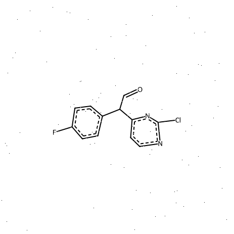 O=CC(c1ccc(F)cc1)c1ccnc(Cl)n1